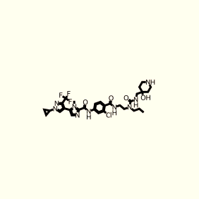 CCCN(CCNC(=O)c1ccc(NC(=O)c2ncc(-c3cn(C4CC4)nc3C(F)(F)F)n2C)cc1Cl)C(=O)NCC1(O)CCNCC1